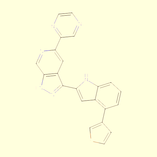 c1cc(-c2ccsc2)c2cc(-c3n[nH]c4cnc(-c5cnccn5)cc34)[nH]c2c1